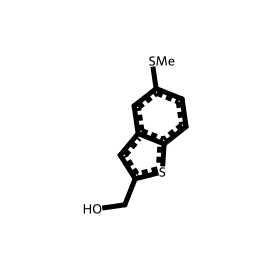 CSc1ccc2sc(CO)cc2c1